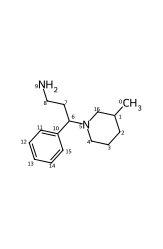 CC1CCCN(C(CCN)c2ccccc2)C1